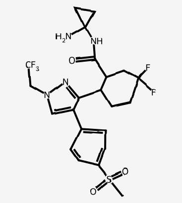 CS(=O)(=O)c1ccc(-c2cn(CC(F)(F)F)nc2C2CCC(F)(F)CC2C(=O)NC2(N)CC2)cc1